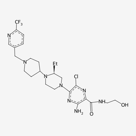 CC[C@H]1CN(c2nc(N)c(C(=O)NCCO)nc2Cl)CCN1C1CCN(Cc2ccc(C(F)(F)F)nc2)CC1